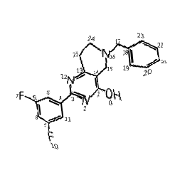 Oc1nc(-c2cc(F)cc(F)c2)nc2c1CN(Cc1ccccc1)CC2